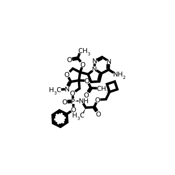 C/N=C1\OCC(OC(C)=O)(C2CC=C3C(N)=NC=NN32)C1(CO[P@@](=O)(N[C@@H](C)C(=O)OCC1CCC1)Oc1ccccc1)OC(C)=O